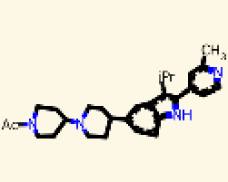 CC(=O)N1CCC(N2CCC(c3ccc4[nH]c(-c5ccnc(C)c5)c(C(C)C)c4c3)CC2)CC1